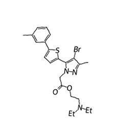 CCN(CC)CCOC(=O)Cn1nc(C)c(Br)c1-c1ccc(-c2cccc(C)c2)s1